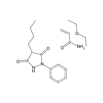 C=CC(N)=O.CCCCC1C(=O)NN(c2ccccc2)C1=O.CCOCC